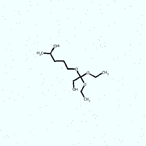 CCOC(CO)(OCC)OCCCC(C)O